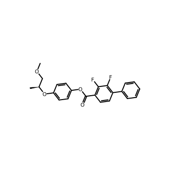 COC[C@H](C)Oc1ccc(OC(=O)c2ccc(-c3ccccc3)c(F)c2F)cc1